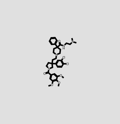 COc1cc(C(=O)N2CCC(CCN3CCC(C(=O)NCCN(C)C)(c4ccccc4)CC3)(c3ccc(Cl)c(Cl)c3)C2)cc(OC)c1OC